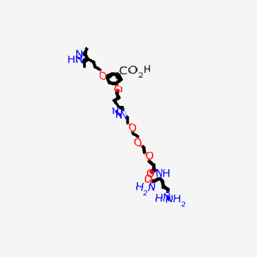 Cc1n[nH]c(C)c1CCCOc1cc(OCCCc2cn(CCOCCOCCOCCC(=O)NC(CCCNN)C(N)=O)nn2)cc(C(=O)O)c1